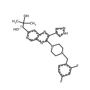 CC(C)(O)[C@@H](O)c1cc2nc(-c3cn[nH]c3)c(N3CCN(Cc4ccc(F)cc4F)CC3)nc2cn1